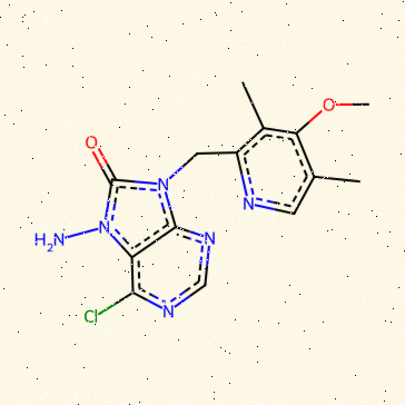 COc1c(C)cnc(Cn2c(=O)n(N)c3c(Cl)ncnc32)c1C